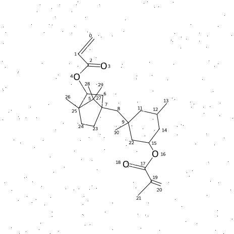 C=CC(=O)OC1CC2(CC3(C)CC(C)CC(OC(=O)C(=C)C)C3)CCC1(C)C2(C)C